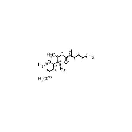 CCCCNC(=O)CC(C)C(C)C(CCCC)OC